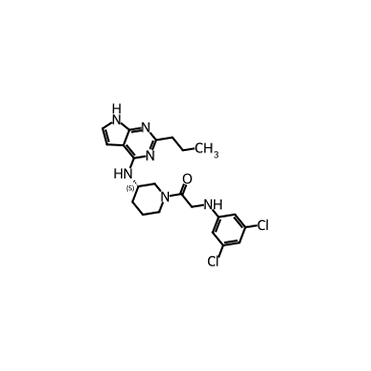 CCCc1nc(N[C@H]2CCCN(C(=O)CNc3cc(Cl)cc(Cl)c3)C2)c2cc[nH]c2n1